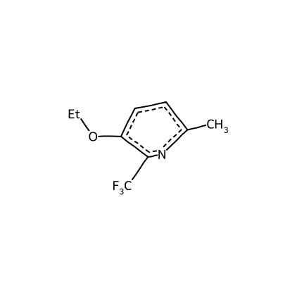 CCOc1ccc(C)nc1C(F)(F)F